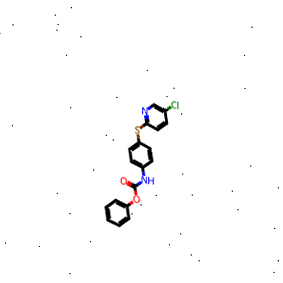 O=C(Nc1ccc(Sc2ccc(Cl)cn2)cc1)Oc1ccccc1